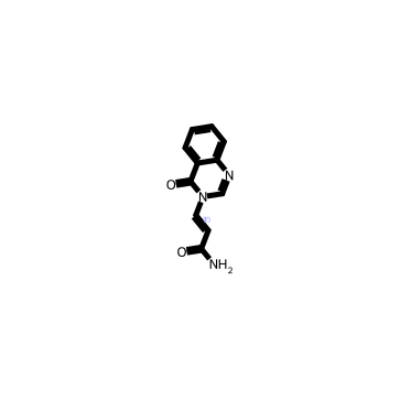 NC(=O)/C=C/n1cnc2ccccc2c1=O